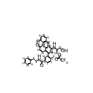 Cc1ccc(C(=O)NCCc2ccccc2)cc1-c1nc(NC(CO)COC(=O)C(F)(F)F)nc2c1ccc(=O)n2-c1c(F)cccc1F